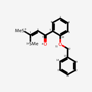 CSC(=CC(=O)c1ccccc1OCc1ccccc1)SC